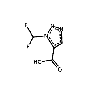 O=C(O)c1cnnn1C(F)F